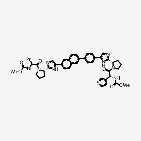 COC(=O)NC(C(=O)N1CCC[C@H]1c1ncc(-c2ccc3cc(-c4ccc(-c5cnc([C@@H]6CCCN6C(=O)[C@H](NC(=O)OC)c6ccsc6)[nH]5)cc4)ccc3c2)[nH]1)C(C)C